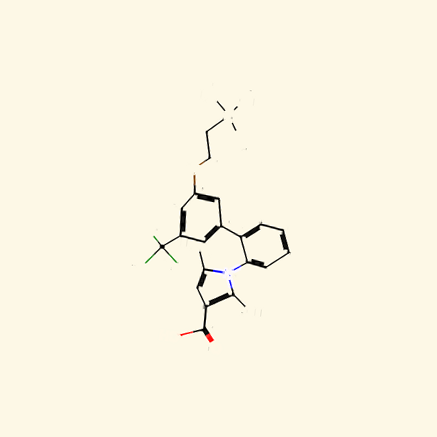 Cc1cc(C(=O)O)c(C)n1-c1ccccc1-c1cc(SCC[Si](C)(C)C)cc(C(F)(F)F)c1